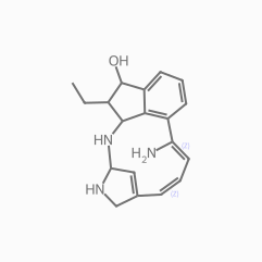 CCC1C(O)c2cccc3c2C1NC1C=C(/C=C\C=C\3N)CN1